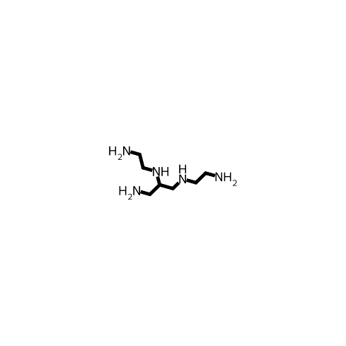 NCCNCC(CN)NCCN